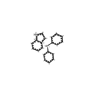 c1ccc(Pc2ccccc2)cc1.c1ccc2[nH]ccc2c1